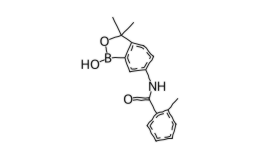 Cc1ccccc1C(=O)Nc1ccc2c(c1)B(O)OC2(C)C